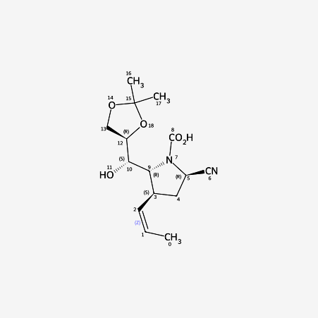 C/C=C\[C@@H]1C[C@H](C#N)N(C(=O)O)[C@H]1[C@H](O)[C@H]1COC(C)(C)O1